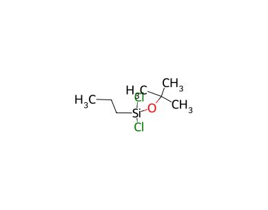 CCC[Si](Cl)(Cl)OC(C)(C)C